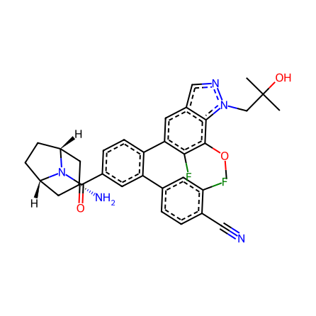 COc1c(F)c(-c2ccc(C(=O)N3[C@@H]4CC[C@H]3C[C@@H](N)C4)cc2-c2ccc(C#N)c(F)c2)cc2cnn(CC(C)(C)O)c12